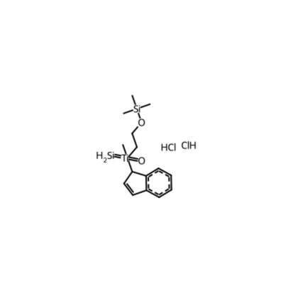 C[Si](C)(C)OC[CH2][Ti]([CH3])(=[O])(=[SiH2])[CH]1C=Cc2ccccc21.Cl.Cl